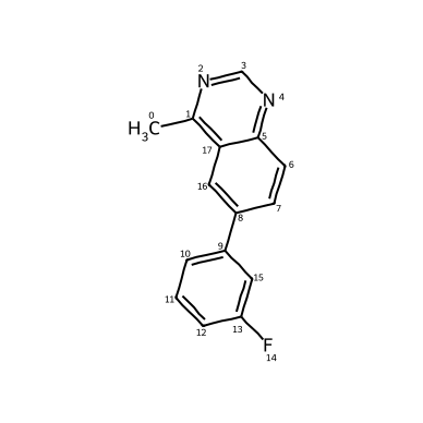 Cc1ncnc2ccc(-c3cccc(F)c3)cc12